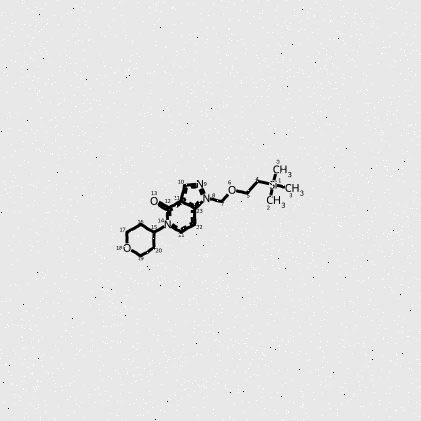 C[Si](C)(C)CCOCn1ncc2c(=O)n(C3CCOCC3)ccc21